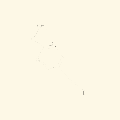 CCC#Cc1cnc(SN)nc1